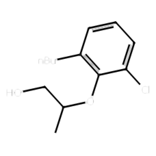 CCCCc1cccc(Cl)c1OC(C)CO